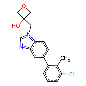 Cc1c(Cl)cccc1-c1ccc2c(c1)ncn2CC1(O)COC1